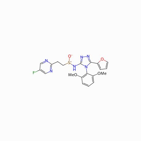 COc1cccc(OC)c1-n1c(N[S+]([O-])CCc2ncc(F)cn2)nnc1-c1ccco1